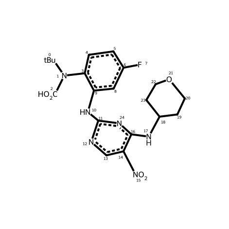 CC(C)(C)N(C(=O)O)c1ccc(F)cc1Nc1ncc([N+](=O)[O-])c(NC2CCOCC2)n1